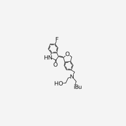 CCC(C)CN(CCO)Cc1ccc2c(c1)COC2=C1C(=O)Nc2ccc(F)cc21